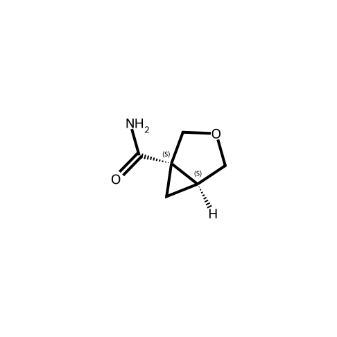 NC(=O)[C@]12COC[C@H]1C2